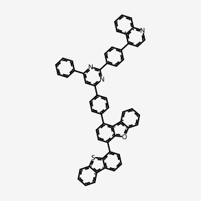 c1ccc(-c2cc(-c3ccc(-c4ccc(-c5cccc6c5sc5ccccc56)c5oc6ccccc6c45)cc3)nc(-c3ccc(-c4ccnc5ccccc45)cc3)n2)cc1